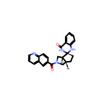 O=C1N[C@]2(CC[C@@H]3CN(C(=O)c4ccc5ncccc5c4)C[C@@H]32)Nc2ccccc21